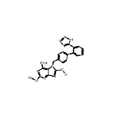 CCOc1nc(C(=O)O)c2c(n1)nc(OCC)n2Cc1ccc(-c2ccccc2-c2nnn[nH]2)cc1